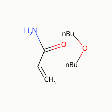 C=CC(N)=O.CCCCOCCCC